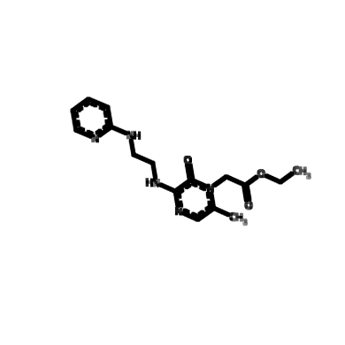 CCOC(=O)Cn1c(C)cnc(NCCNc2ccccn2)c1=O